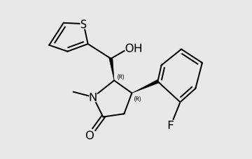 CN1C(=O)C[C@H](c2ccccc2F)[C@@H]1C(O)c1cccs1